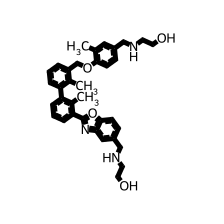 Cc1cc(CNCCO)ccc1OCc1cccc(-c2cccc(-c3nc4cc(CNCCO)ccc4o3)c2C)c1C